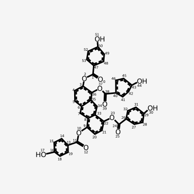 O=C(Oc1ccc2cc3c(OC(=O)c4ccc(O)cc4)ccc(OC(=O)c4ccc(O)cc4)c3cc2c1OC(=O)c1ccc(O)cc1)c1ccc(O)cc1